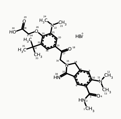 Br.CNC(=O)c1cc2c(cc1N(C)C)CN(CC(=O)c1cc(N(C)C)c(OCC(=O)O)c(C(C)(C)C)c1)C2=N